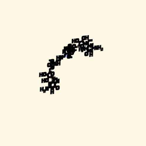 C=CN(c1nc(N)[nH]c(=O)c1NC)[C@@H]1O[C@H](COP(=O)(OC)OP(=O)(OC)/C(=C/NCCNP(=O)(OC)OC[C@H]2O[C@@H](n3cnc4c(=O)[nH]c(N)nc43)C(O)C2O)N=N)C(O)C1O